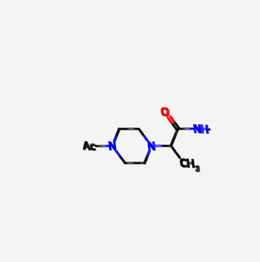 CC(=O)N1CCN(C(C)C([NH])=O)CC1